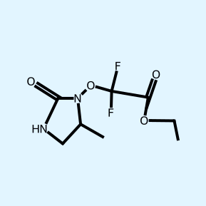 CCOC(=O)C(F)(F)ON1C(=O)NCC1C